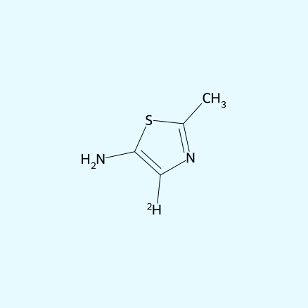 [2H]c1nc(C)sc1N